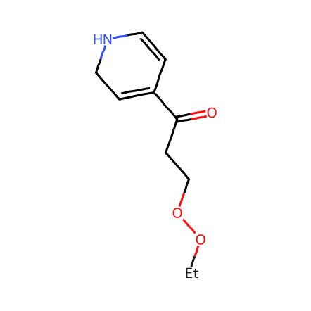 CCOOCCC(=O)C1=CCNC=C1